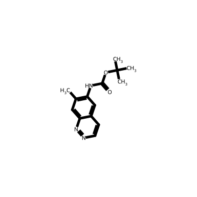 Cc1cc2nnccc2cc1NC(=O)OC(C)(C)C